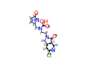 O=C1CCC(CN(CCN2Cc3cc(Cl)ncc3C2=O)C(=O)O)N1